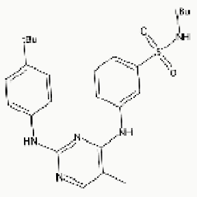 Cc1cnc(Nc2ccc(C(C)(C)C)cc2)nc1Nc1cccc(S(=O)(=O)NC(C)(C)C)c1